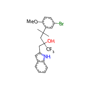 COc1ccc(Br)cc1C(C)(C)CC(O)(Cc1cc2ccccc2[nH]1)C(F)(F)F